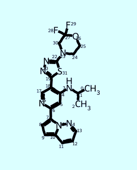 CC(C)Nc1cc(-c2ccc3cccnn23)ncc1-c1nnc(N2CCOC(F)(F)C2)s1